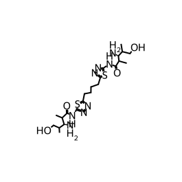 CC(CO)[C@H](N)C(C)C(=O)Nc1nnc(CCCCc2nnc(NC(=O)C(C)[C@@H](N)C(C)CO)s2)s1